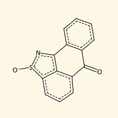 O=C1c2ccccc2-c2n[s+]([O-])c3cccc1c23